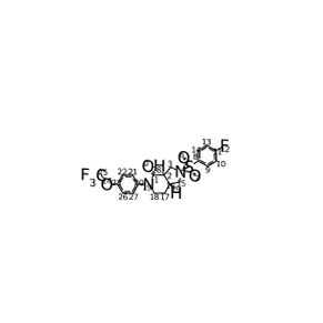 O=C1[C@@H]2CN(S(=O)(=O)c3ccc(F)cc3)C[C@@H]2CCN1c1ccc(OC(F)(F)F)cc1